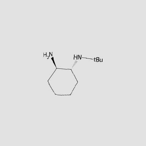 CC(C)(C)N[C@@H]1CCCC[C@H]1N